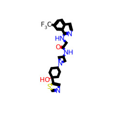 O=C(CNc1nccc2ccc(C(F)(F)F)cc12)NC1CN([C@H]2CC[C@](O)(c3cncs3)CC2)C1